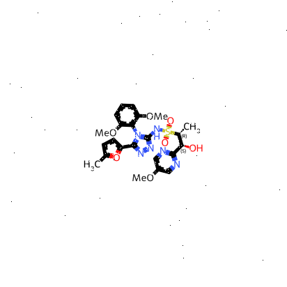 COc1cnc([C@H](O)[C@@H](C)S(=O)(=O)Nc2nnc(-c3ccc(C)o3)n2-c2c(OC)cccc2OC)nc1